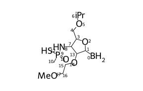 BC1OC(COC(C)C)C(NP(C)(=O)S)C1OCCOC